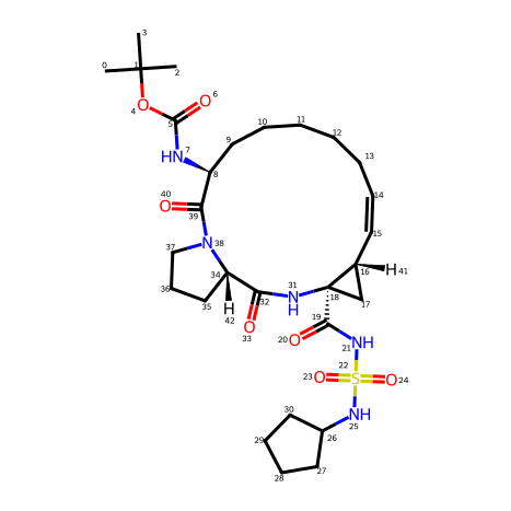 CC(C)(C)OC(=O)N[C@H]1CCCCC/C=C\[C@@H]2C[C@@]2(C(=O)NS(=O)(=O)NC2CCCC2)NC(=O)[C@@H]2CCCN2C1=O